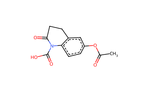 CC(=O)Oc1ccc2c(c1)CCC(=O)N2C(=O)O